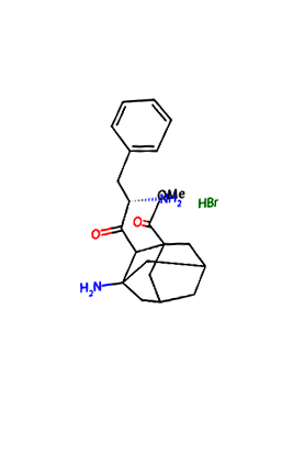 Br.COC(=O)C12CC3CC(CC(N)(C3)C1C(=O)[C@@H](N)Cc1ccccc1)C2